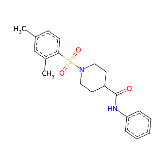 Cc1ccc(S(=O)(=O)N2CCC(C(=O)Nc3ccccc3)CC2)c(C)c1